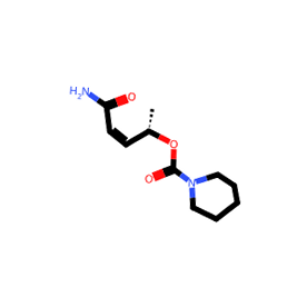 C[C@@H](/C=C\C(N)=O)OC(=O)N1CCCCC1